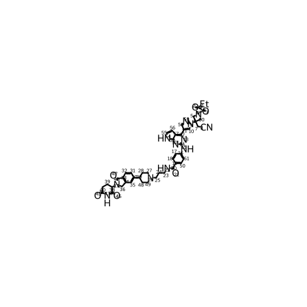 CCS(=O)(=O)N1CC(CC#N)(n2cc(-c3nc(Nc4ccc(C(=O)NCCCN5CCC(c6ccc7c(c6)CN(C6CCC(=O)NC6=O)C7=O)CC5)cc4)nc4[nH]ccc34)cn2)C1